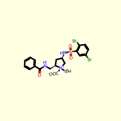 CC(C)(C)[N+]1(C(=O)[O-])C[C@H](NS(=O)(=O)c2cc(Br)ccc2Br)C[C@@H]1CNC(=O)c1ccccc1